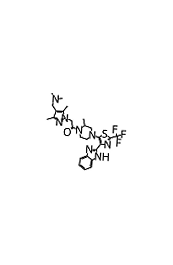 Cc1nn(CC(=O)N2CCN(c3sc(C(F)(F)F)nc3-c3nc4ccccc4[nH]3)CC2C)c(C)c1CN(C)C